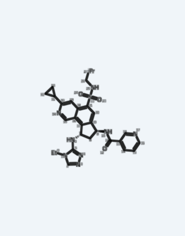 CCn1cnnc1N[C@H]1C[C@H](NC(=O)c2cccnc2)c2cc(S(=O)(=O)NCC(C)C)c3cc(C4CC4)ncc3c21